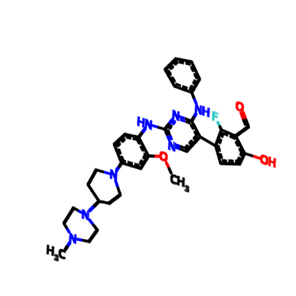 COc1cc(N2CCC(N3CCN(C)CC3)CC2)ccc1Nc1ncc(-c2ccc(O)c(C=O)c2F)c(Nc2ccccc2)n1